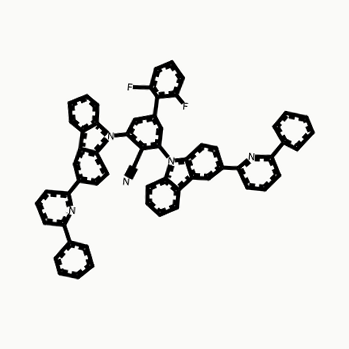 N#Cc1c(-n2c3ccccc3c3cc(-c4cccc(-c5ccccc5)n4)ccc32)cc(-c2c(F)cccc2F)cc1-n1c2ccccc2c2cc(-c3cccc(-c4ccccc4)n3)ccc21